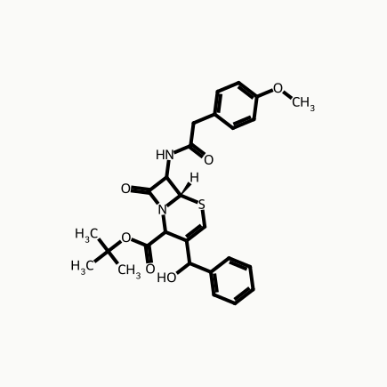 COc1ccc(CC(=O)NC2C(=O)N3C(C(=O)OC(C)(C)C)C(C(O)c4ccccc4)=CS[C@@H]23)cc1